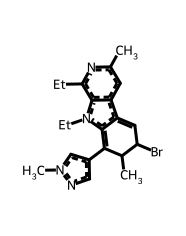 CCc1nc(C)cc2c3c(n(CC)c12)=C(c1cnn(C)c1)C(C)C(Br)C=3